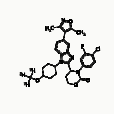 [2H]C([2H])([2H])OC1CCC(n2c(C3CCOC(=O)N3c3ccc(Cl)c(F)c3)nc3cc(-c4c(C)noc4C)ccc32)CC1